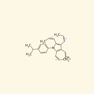 C=Cc1c(/C=C\C)c(/C=C\C)n(-c2ccc(C(C)C)cc2)c1/C=C\C